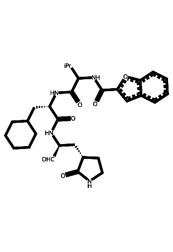 CC(C)C(NC(=O)c1cc2ccccc2o1)C(=O)N[C@@H](CC1CCCCC1)C(=O)N[C@H](C=O)C[C@@H]1CCNC1=O